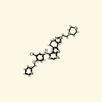 Clc1cc(Nc2ncnc3sc4c(c23)CCc2nn(CCN3CCOCC3)cc2-4)ccc1OCc1ccccn1